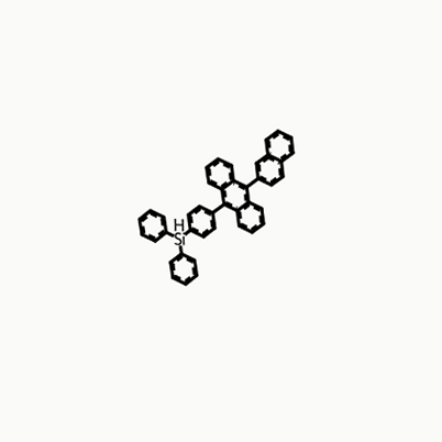 c1ccc([SiH](c2ccccc2)c2ccc(-c3c4ccccc4c(-c4ccc5ccccc5c4)c4ccccc34)cc2)cc1